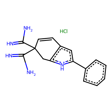 Cl.N=C(N)C1(C(=N)N)C=Cc2cc(-c3ccccc3)[nH]c2C1